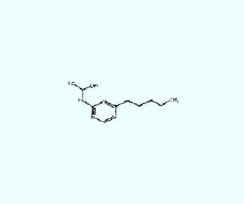 CCCCCc1ccnc(NC(C)O)n1